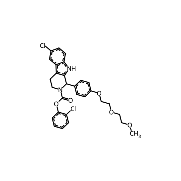 COCCOCCOc1ccc(C2c3[nH]c4ccc(Cl)cc4c3CCN2C(=O)Oc2ccccc2Cl)cc1